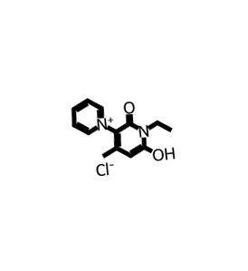 CCn1c(O)cc(C)c(-[n+]2ccccc2)c1=O.[Cl-]